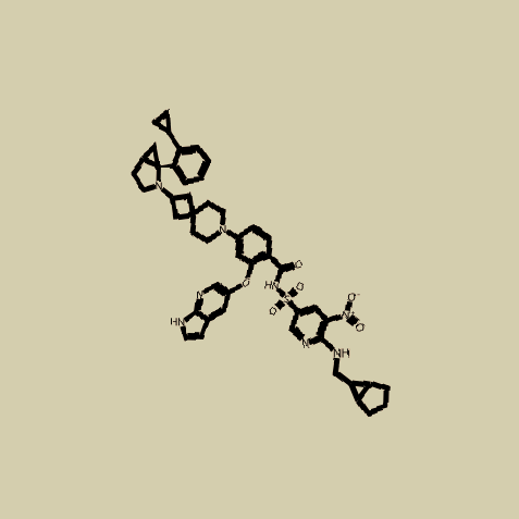 O=C(NS(=O)(=O)c1cnc(NCC2C3CCCC32)c([N+](=O)[O-])c1)c1ccc(N2CCC3(CC2)CC(N2CCC4C[C@@]42c2ccccc2C2CC2)C3)cc1Oc1cnc2[nH]ccc2c1